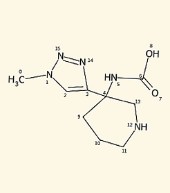 Cn1cc(C2(NC(=O)O)CCCNC2)nn1